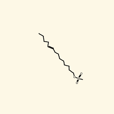 CCCCC=CCCCCCCCCOS(C)(=O)=O